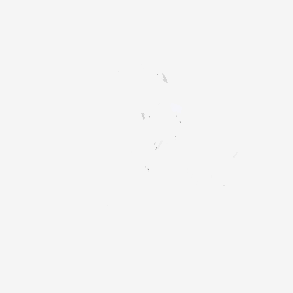 COC[C@H](C)N/C(=N/C(=O)c1ccc(F)c(F)c1)NC1CC(c2cc(F)cc(Cl)c2)NN1